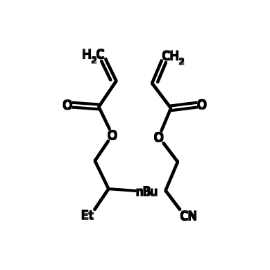 C=CC(=O)OCC(CC)CCCC.C=CC(=O)OCCC#N